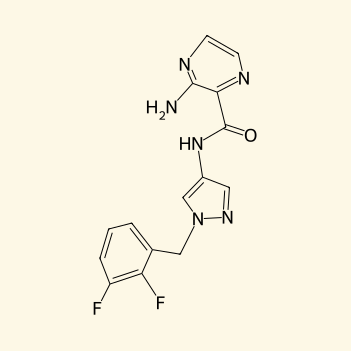 Nc1nccnc1C(=O)Nc1cnn(Cc2cccc(F)c2F)c1